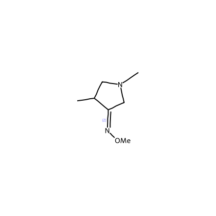 CO/N=C1\CN(C)CC1C